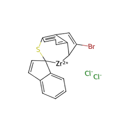 BrC1=Cc2c3cccc2[CH]1[Zr+2][C]1(C=Cc2ccccc21)S3.[Cl-].[Cl-]